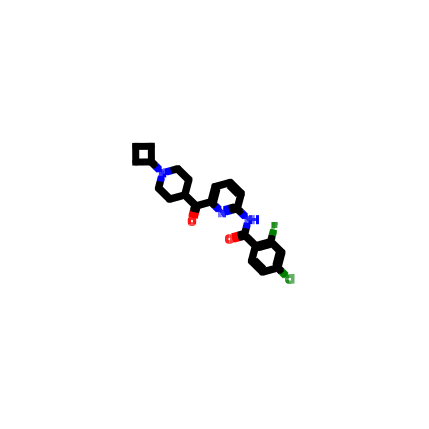 O=C(Nc1cccc(C(=O)C2CCN(C3CCC3)CC2)n1)c1ccc(Cl)cc1F